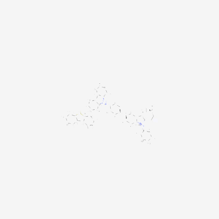 C=C/C=C\c1c(C)c2cc(-c3ccc(-n4c5ccccc5c5ccc(-c6cccc7c6sc6ccccc67)cc54)cc3)ccc2n1-c1ccccc1